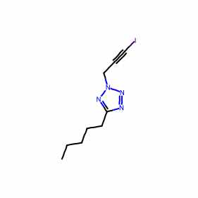 CCCCCc1nnn(CC#CI)n1